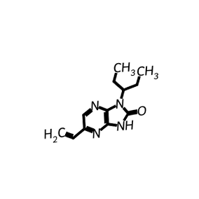 C=Cc1cnc2c(n1)[nH]c(=O)n2C(CC)CC